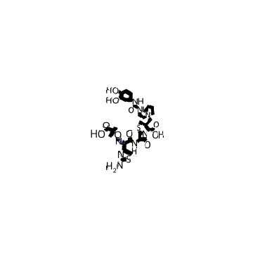 CC(C)(O/N=C(\C(=O)NC1C(=O)N2C(C(=O)O)=C(C[N+]3(CCNC(=O)Nc4ccc(O)c(O)c4)CCCC3)CSC12)c1csc(N)n1)C(=O)O